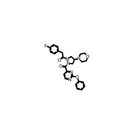 O=C(Cc1ccc(F)cc1)N1CC(N2CCOCC2)CN1C(=O)c1ccnc(Oc2ccccc2)n1